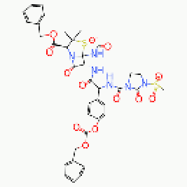 CC1(C)[C@H](C(=O)OCc2ccccc2)N2C(=O)[C@@H](NC(=O)C(NC(=O)N3CCN(S(C)(=O)=O)C3=O)c3ccc(OC(=O)OCc4ccccc4)cc3)C2(NC=O)[S+]1[O-]